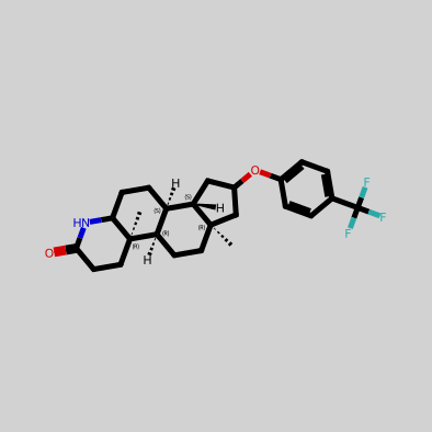 C[C@]12CC[C@@H]3[C@@H](CCC4NC(=O)CC[C@@]43C)[C@@H]1CC(Oc1ccc(C(F)(F)F)cc1)C2